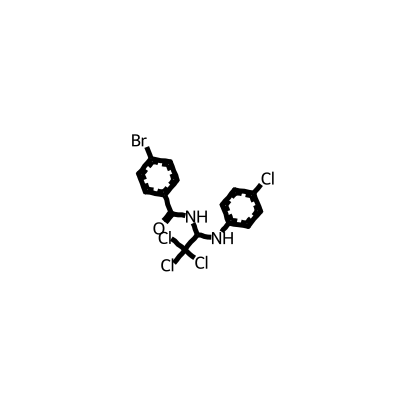 O=C(NC(Nc1ccc(Cl)cc1)C(Cl)(Cl)Cl)c1ccc(Br)cc1